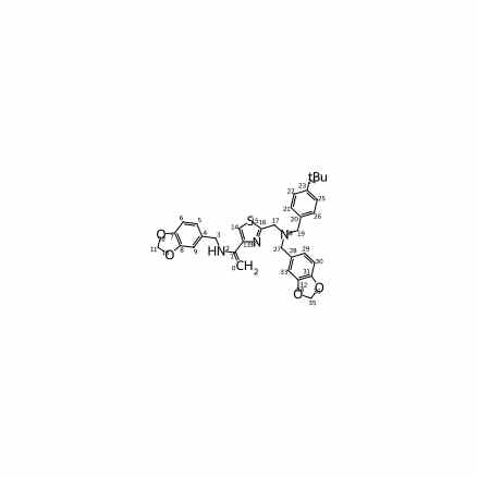 C=C(NCc1ccc2c(c1)OCO2)c1csc(CN(Cc2ccc(C(C)(C)C)cc2)Cc2ccc3c(c2)OCO3)n1